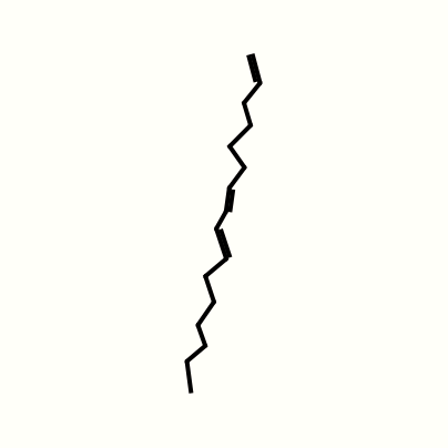 C=CCCCCC=CC=CCCCCCC